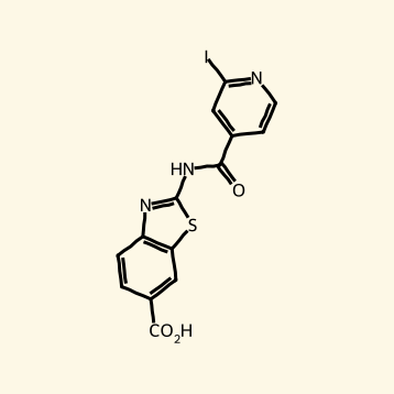 O=C(O)c1ccc2nc(NC(=O)c3ccnc(I)c3)sc2c1